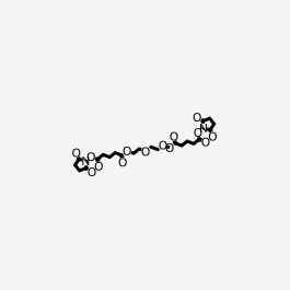 O=C(CCCC(=O)ON1C(=O)CCC1=O)OCCOCCOOC(=O)CCCC(=O)ON1C(=O)CCC1=O